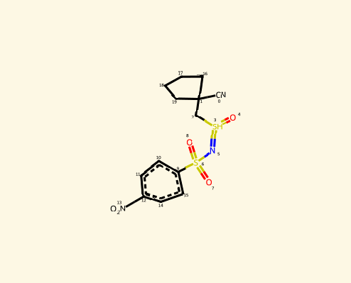 N#CC1(C/[SH](=O)=N\S(=O)(=O)c2ccc([N+](=O)[O-])cc2)CCCC1